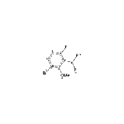 COc1c(Br)ccc(F)c1C(F)F